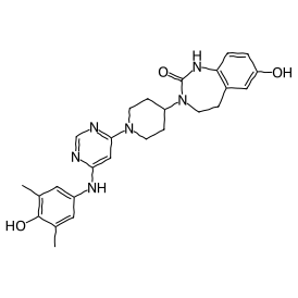 Cc1cc(Nc2cc(N3CCC(N4CCc5cc(O)ccc5NC4=O)CC3)ncn2)cc(C)c1O